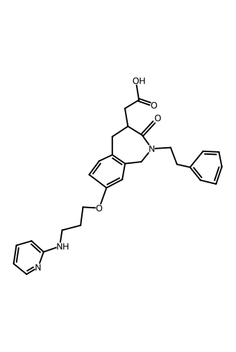 O=C(O)CC1Cc2ccc(OCCCNc3ccccn3)cc2CN(CCc2ccccc2)C1=O